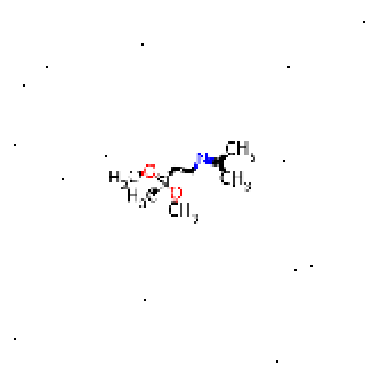 CO[Si](C)(CCN=C(C)C)OC